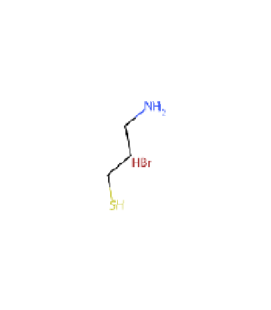 Br.NCCCS